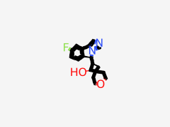 O[C@@H]1[C@@H]([C@H]2c3ccc(F)cc3-c3cncn32)CC12CCOCC2